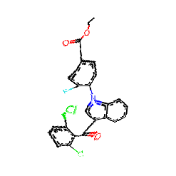 CCOC(=O)c1ccc(-n2cc(C(=O)c3c(Cl)cccc3Cl)c3ccccc32)c(F)c1